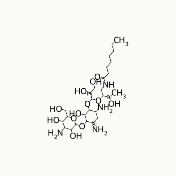 CCCCCCCC(=O)NCC(OC(OC1C(N)C[C@H](N)C(OC2OC(CO)C(O)C(N)C2O)C1O)[C@@H](O)CO)[C@H](C)O